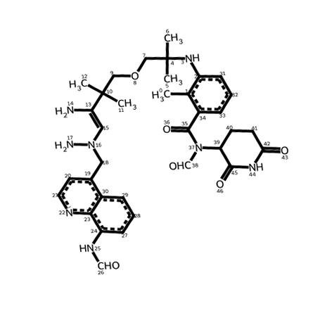 Cc1c(NC(C)(C)COCC(C)(C)/C(N)=C/N(N)Cc2ccnc3c(NC=O)cccc23)cccc1C(=O)N(C=O)C1CCC(=O)NC1=O